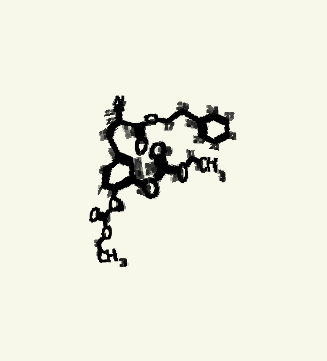 CCOC(=O)Oc1ccc(C=C(C#N)C(=O)OCCc2ccccc2)cc1OC(=O)OCC